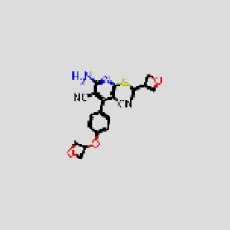 CC(Sc1nc(N)c(C#N)c(-c2ccc(OC3COC3)cc2)c1C#N)C1COC1